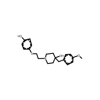 COc1ccc(CC2(O)CCN(CCOc3ccc(O)cc3)CC2)cc1